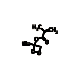 C=C(C)C(=O)OC1(C(C)(C)C)COO1